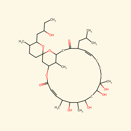 CCC(O)CC1OC2(CCC1C)CC1OC(=O)/C=C\C(C)C(O)C(C)C(O)CC(O)C(C)(O)CCC/C=C\C(CC(C)C)C(=O)CC(O2)C1C